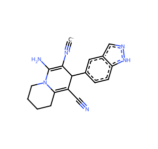 [C-]#[N+]C1=C(N)N2CCCCC2=C(C#N)C1c1ccc2[nH]ncc2c1